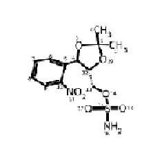 CC1(C)O[C@H](c2ccccc2[N+](=O)[O-])[C@@H](COS(N)(=O)=O)O1